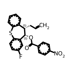 C=CC[C@H]1c2ccccc2Sc2ccc(F)cc2[C@H]1OC(=O)c1ccc([N+](=O)[O-])cc1